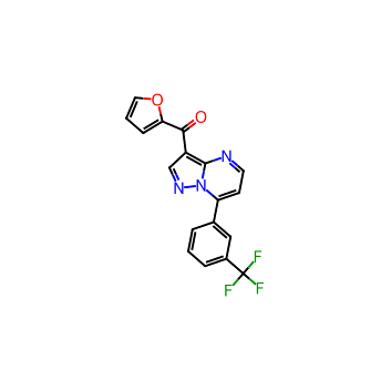 O=C(c1ccco1)c1cnn2c(-c3cccc(C(F)(F)F)c3)ccnc12